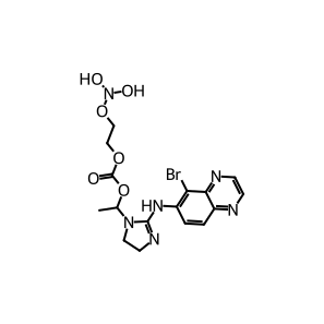 CC(OC(=O)OCCON(O)O)N1CCN=C1Nc1ccc2nccnc2c1Br